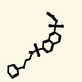 [N-]=[N+]=NS(=O)(=O)c1ccc2ccc(S(=O)(=O)NCCSC3=CCCC=C3)cc2c1